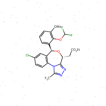 CCOC(=O)C[C@H]1O[C@H](c2cccc(OC)c2OC(F)F)c2cc(Cl)ccc2-n2c1nnc2C(F)(F)F